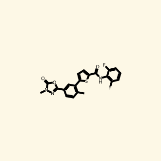 Cc1ccc(-c2nn(C)c(=O)o2)cc1-c1ccc(C(=O)Nc2c(F)cccc2F)s1